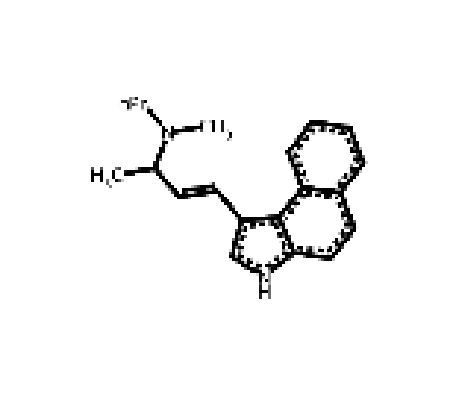 CCCN(C)C(C)/C=C/c1c[nH]c2ccc3ccccc3c12